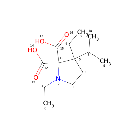 CCN1CCC(CC)(C(C)C)C1(C(=O)O)C(=O)O